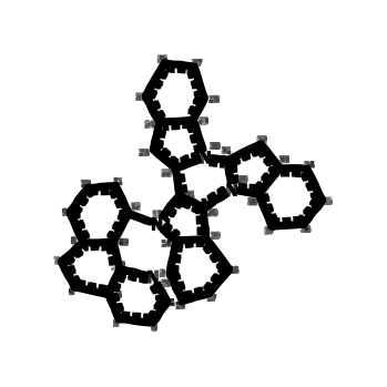 c1cnc2c(c1)ccc1cccc(-n3c4ccccc4c4c3c3cc5ccccc5n3c3cc5ccccc5n43)c12